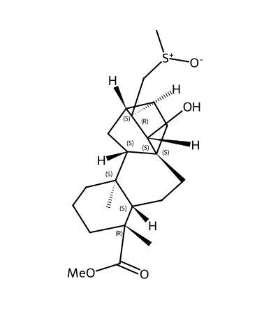 COC(=O)[C@]1(C)CCC[C@@]2(C)[C@@H]3C[C@@H]4CC[C@@]3(CC[C@@H]21)[C@@H](O)[C@@H]4C[S+](C)[O-]